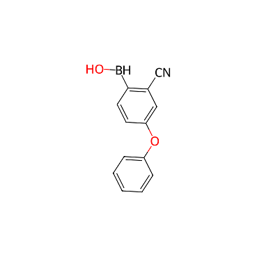 N#Cc1cc(Oc2ccccc2)ccc1BO